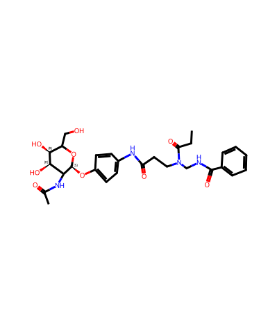 CCC(=O)N(CCC(=O)Nc1ccc(O[C@@H]2OC(CO)[C@H](O)[C@H](O)C2NC(C)=O)cc1)CNC(=O)c1ccccc1